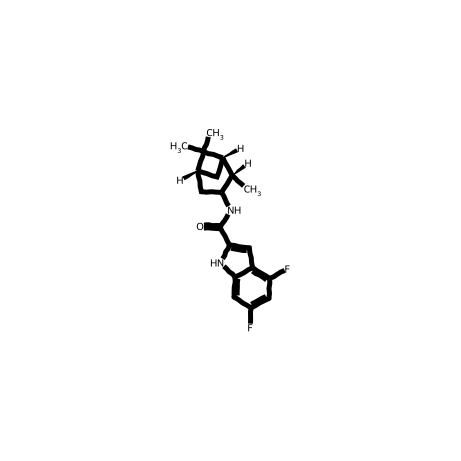 C[C@@H]1C(NC(=O)c2cc3c(F)cc(F)cc3[nH]2)C[C@H]2C[C@@H]1C2(C)C